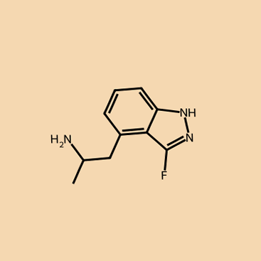 CC(N)Cc1cccc2[nH]nc(F)c12